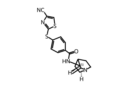 C[C@H]1[C@H](NC(=O)c2ccc(Sc3nc(C#N)cs3)cc2)C2CCN1CC2